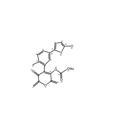 C=c1oc(=C)c(=O)c(-c2cc(-c3ccc(Cl)s3)ccc2C)c1OC(=O)OC